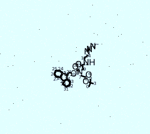 CC(C)(C)OC(=O)CN(CC(=O)NCCN=[N+]=[N-])C(=O)OCC1c2ccccc2-c2ccccc21